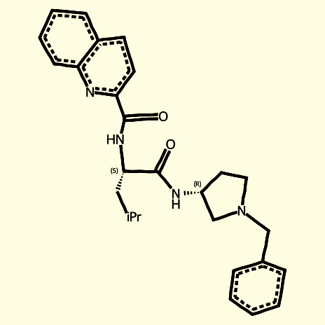 CC(C)C[C@H](NC(=O)c1ccc2ccccc2n1)C(=O)N[C@@H]1CCN(Cc2ccccc2)C1